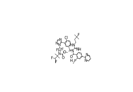 CC(C)(F)CCNC(=N)N(C(=O)c1ccc(-c2ncccn2)cc1P)[C@H](COC(=O)NC(C)(C)C(F)F)c1ccc(Cl)c(-c2ncnn2C(F)F)c1